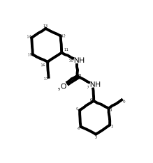 CC1CCCCC1NC(=O)NC1CCCCC1C